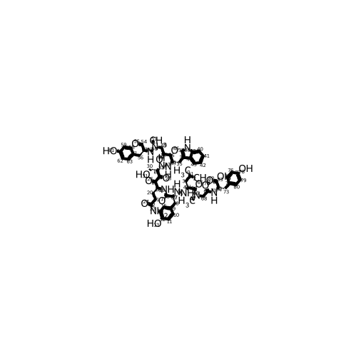 CC(C)C[C@H](NN[C@@H](Cc1ccc(O)cc1)C(=O)N[C@@H](CCC(N)=O)C(=O)C(=O)[C@H](CO)NN[C@@H](Cc1c[nH]c2ccccc12)C(=O)C(=O)CN(C)N[C@H](C=O)Cc1ccc(O)cc1)C(=O)N(C)CC(=O)N[C@@H](Cc1ccc(O)cc1)C(=O)O